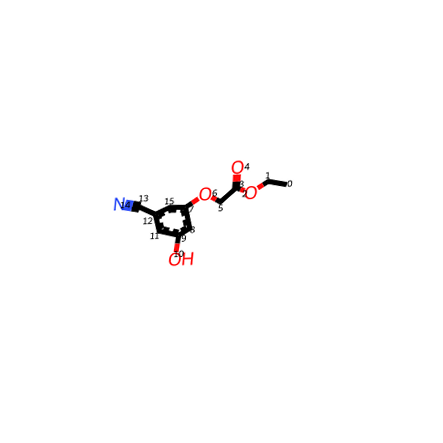 CCOC(=O)COc1cc(O)cc(C#N)c1